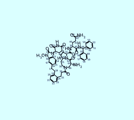 Cn1c(=O)n(C2CCC(=O)NC2=O)c2ccc(CCc3ccccc3CCC(=O)N3CC[C@H]4CC[C@@H](C(=O)N[C@@H](CCC(N)=O)C(=O)NC(c5ccccc5)c5ccccc5)N4C(=O)[C@@H](N)C3)cc21